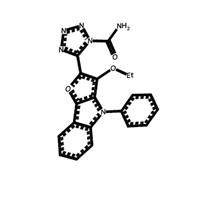 CCOc1c(-c2nnnn2C(N)=O)oc2c3ccccc3n(-c3ccccc3)c12